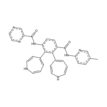 Cc1ccc(NC(=O)c2ccc(NC(=O)c3cnccn3)c(C3=CC=CNC=C3)c2C2=CC=CNC=C2)nc1